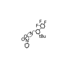 CC(C)(C)c1cc(CN2CCC3(CC2)CN(c2ccccc2)C(=O)O3)cc(-c2ccc(F)c(F)c2F)c1